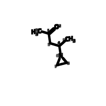 CC(=O)CC(C)N1CC1